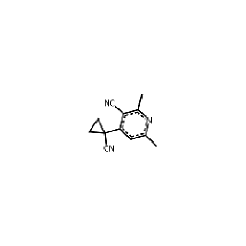 Cc1cc(C2(C#N)CC2)c(C#N)c(C)n1